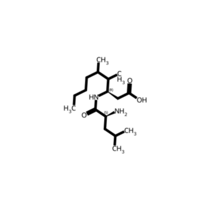 CCCCC(C)C(C)[C@@H](CC(=O)O)NC(=O)[C@@H](N)CC(C)C